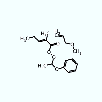 C=CCOC.CCC=C(C)C(=O)OOC(C)Oc1ccccc1